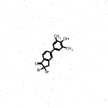 Cc1cc(-c2ccc3c(c2)CC(Br)(Br)C3=O)cc(C)c1O